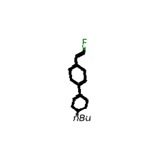 CCCCC1CCC(C2CCC(C=CF)CC2)CC1